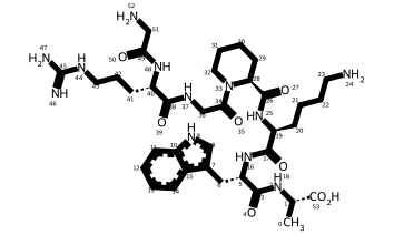 C[C@H](NC(=O)[C@H](Cc1c[nH]c2ccccc12)NC(=O)[C@H](CCCCN)NC(=O)[C@@H]1CCCCN1C(=O)CNC(=O)[C@H](CCCNC(=N)N)NC(=O)CN)C(=O)O